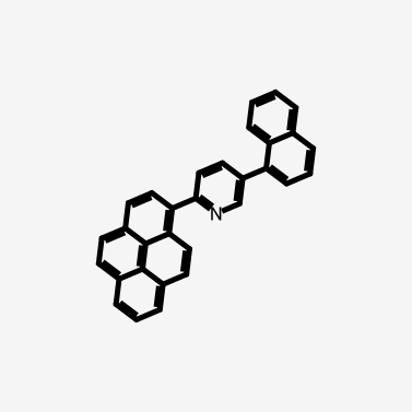 c1ccc2c(-c3ccc(-c4ccc5ccc6cccc7ccc4c5c67)nc3)cccc2c1